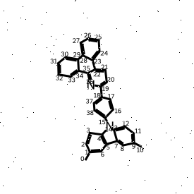 Cc1ccc2c(c1)c1cc(C)ccc1n2-c1ccc(-c2ccc3c4ccccc4c4ccccc4c3n2)cc1